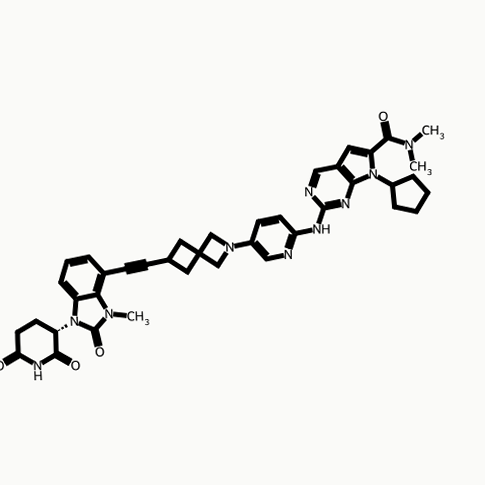 CN(C)C(=O)c1cc2cnc(Nc3ccc(N4CC5(CC(C#Cc6cccc7c6n(C)c(=O)n7[C@H]6CCC(=O)NC6=O)C5)C4)cn3)nc2n1C1CCCC1